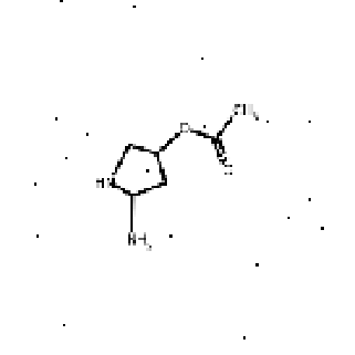 CC(=O)OC1CNC(N)C1